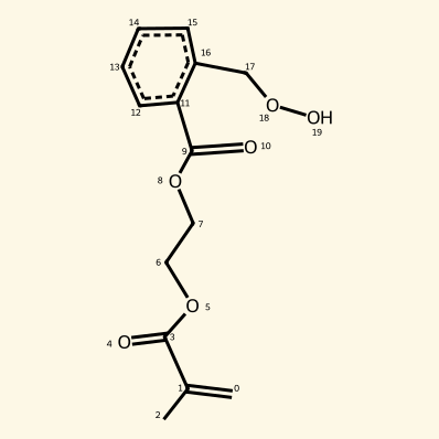 C=C(C)C(=O)OCCOC(=O)c1ccccc1COO